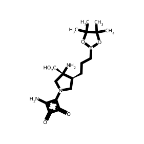 CC1(C)OB(CCC[C@H]2CN(c3c(N)c(=O)c3=O)C[C@@]2(N)C(=O)O)OC1(C)C